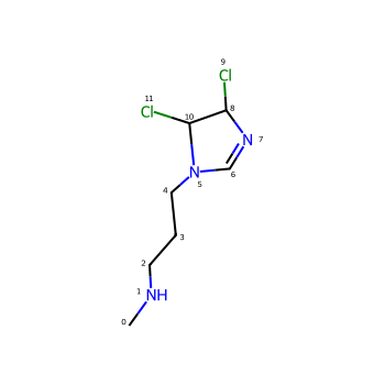 CNCCCN1C=NC(Cl)C1Cl